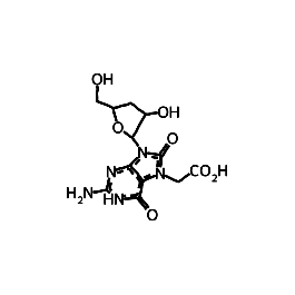 Nc1nc2c(c(=O)[nH]1)n(CC(=O)O)c(=O)n2C1OC(CO)CC1O